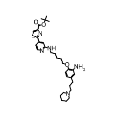 CC(C)(C)OC(=O)c1csc(-c2ccnc(NCCCCCOc3ccc(CCCN4CCCCC4)cc3N)c2)n1